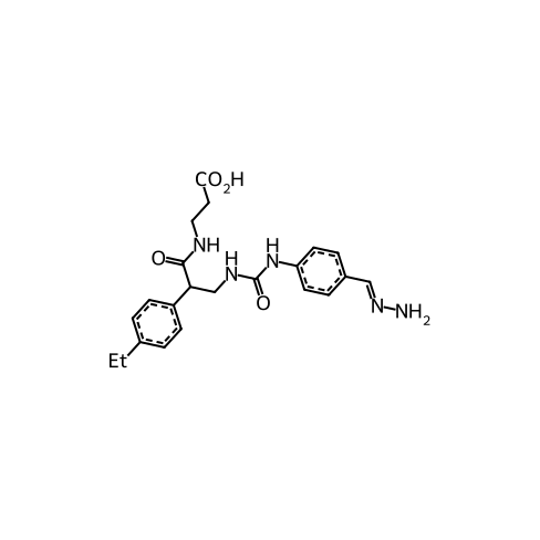 CCc1ccc(C(CNC(=O)Nc2ccc(C=NN)cc2)C(=O)NCCC(=O)O)cc1